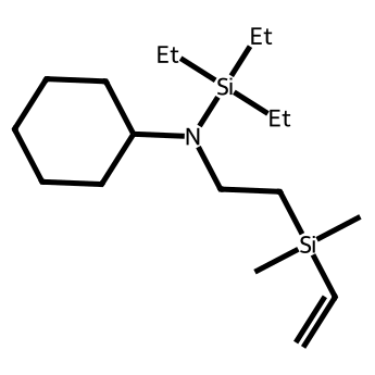 C=C[Si](C)(C)CCN(C1CCCCC1)[Si](CC)(CC)CC